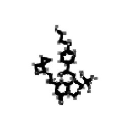 O=C(CN1c2nc(NC[C@H]3OCC34CC4)cc(=O)n2CC[C@H]1C(F)(F)F)c1ccc(OCCF)nc1